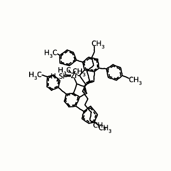 CCCCCCC1=Cc2c(-c3ccc(C)cc3)ccc(-c3ccc(C)cc3)c2[CH]1[Zr]([CH3])([CH3])(=[SiH2])[CH]1C(CCCCCC)=Cc2c(-c3ccc(C)cc3)ccc(-c3ccc(C)cc3)c21